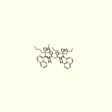 CCCCC(O)(CCCC)[C@@H](NC(=O)CC(=O)N[C@@H](c1cccc2ccccc12)C(O)(CCCC)CCCC)c1cccc2ccccc12